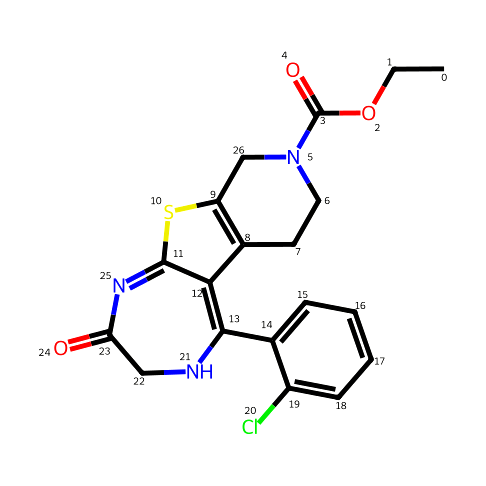 CCOC(=O)N1CCc2c(sc3c2=C(c2ccccc2Cl)NCC(=O)N=3)C1